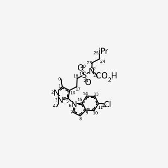 Cc1nn(C)c(-n2ccc3cc(Cl)ccc32)c1CCS(=O)(=O)N(CCC(C)C)C(=O)O